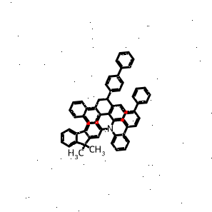 CC1(C)c2ccccc2-c2ccc(N(c3ccccc3-c3ccc(-c4ccccc4)cc3)c3cccc4c3-c3ccc5ccccc5c3CC4c3ccc(-c4ccccc4)cc3)cc21